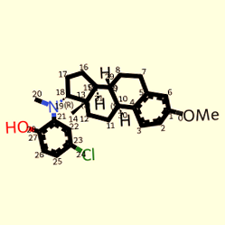 COc1ccc2c(c1)CC[C@@H]1[C@@H]2CC[C@@]2(C)[C@H]1CC[C@H]2N(C)c1cc(Cl)ccc1O